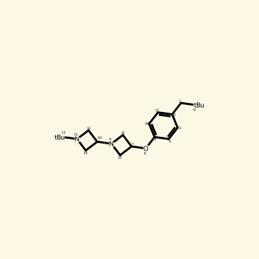 CC(C)(C)Cc1ccc(OC2CN(C3CN(C(C)(C)C)C3)C2)cc1